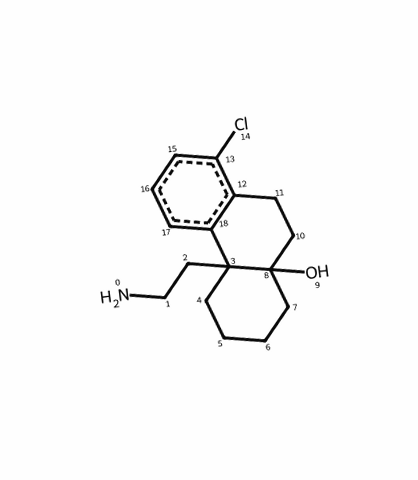 NCCC12CCCCC1(O)CCc1c(Cl)cccc12